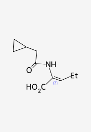 CC/C=C(\NC(=O)CC1CC1)C(=O)O